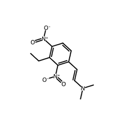 CCc1c([N+](=O)[O-])ccc(/C=C/N(C)C)c1[N+](=O)[O-]